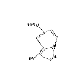 CC(C)c1cnn2ccc(C(C)(C)C)cc12